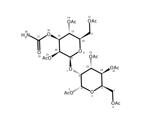 CC(=O)OC[C@H]1O[C@H](OC(C)=O)[C@H](O[C@@H]2O[C@H](COC(C)=O)[C@@H](OC(C)=O)[C@H](OC(N)=O)[C@@H]2OC(C)=O)[C@H](OC(C)=O)[C@H]1OC(C)=O